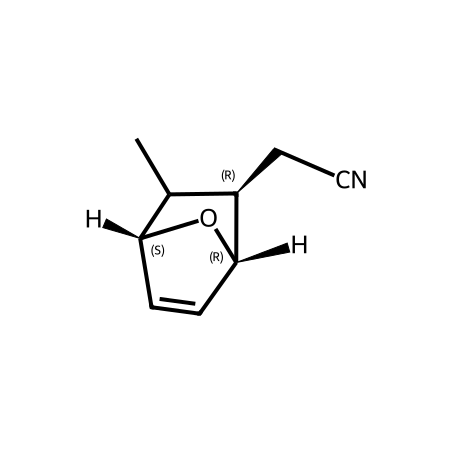 CC1[C@@H](CC#N)[C@@H]2C=C[C@H]1O2